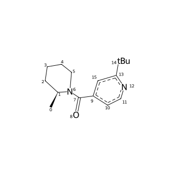 C[C@H]1CCCCN1C(=O)c1ccnc(C(C)(C)C)c1